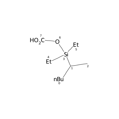 CCCCC(C)[Si](CC)(CC)OC(=O)O